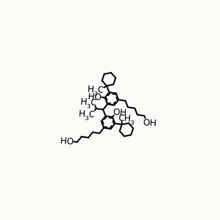 CC(C)C(c1cc(CCCCCO)cc(C2(C)CCCCC2)c1O)c1cc(CCCCCO)cc(C2(C)CCCCC2)c1O